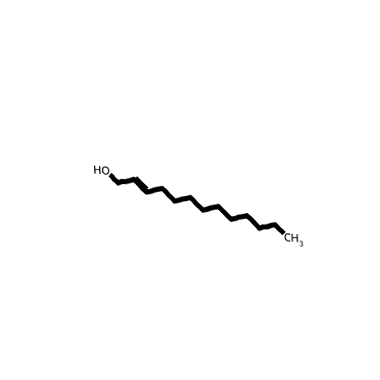 CCCCCCCCCC/C=C/CO